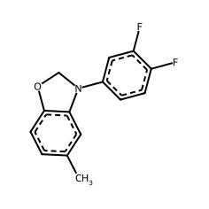 Cc1ccc2c(c1)N(c1ccc(F)c(F)c1)CO2